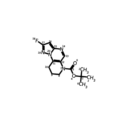 CC(C)(C)OC(=O)N1CCCc2c1cnc1cc(F)nn21